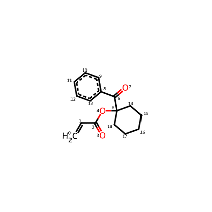 C=CC(=O)OC1(C(=O)c2ccccc2)CCCCC1